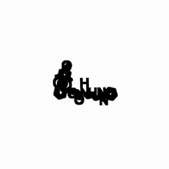 COc1cc(C)c(S(=O)(=O)N2CCCCC2COCC(=O)NCCCc2nc3ccccc3[nH]2)c(C)c1